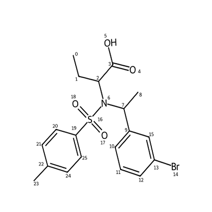 CCC(C(=O)O)N(C(C)c1cccc(Br)c1)S(=O)(=O)c1ccc(C)cc1